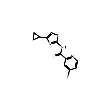 O=C(Nc1nc(C2CC2)cs1)c1cc(F)ccn1